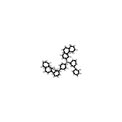 c1ccc(-c2cccc(N(c3ccc(-c4cccc5c4oc4c6ccccc6ccc54)cc3)c3ccc4ccc5ccccc5c4c3)c2)cc1